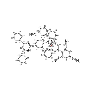 N#Cc1cc(C#N)c(-c2ccc3c(c2)c2ccccc2n3-c2c(-c3ccccc3C#N)cc(-c3nc(-c4ccccc4)cc(-c4ccccc4)n3)cc2-c2ccccc2C#N)c(C#N)c1